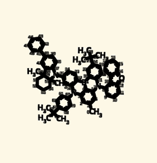 Cc1cc2c3c(c1)N(c1cccc4oc5ccccc5c14)c1ccc(C(C)(C)C)cc1B3c1ccc(N3c4ccc(-c5ccccc5)cc4C4(C)CCCCC34C)cc1N2c1ccc(C(C)(C)C)cc1